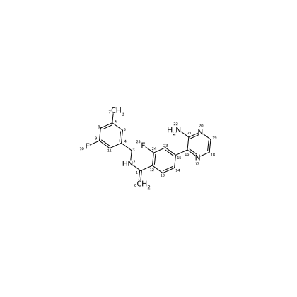 C=C(NCc1cc(C)cc(F)c1)c1ccc(-c2nccnc2N)cc1F